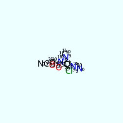 CN1CCN(c2cc(N3CCCCC3)c(N(C)C(=O)c3ccc(C#N)o3)cc2Cl)CC1